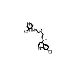 CN(CCNc1ccncc1Cl)CCNc1ccnc2cc(Cl)ccc12